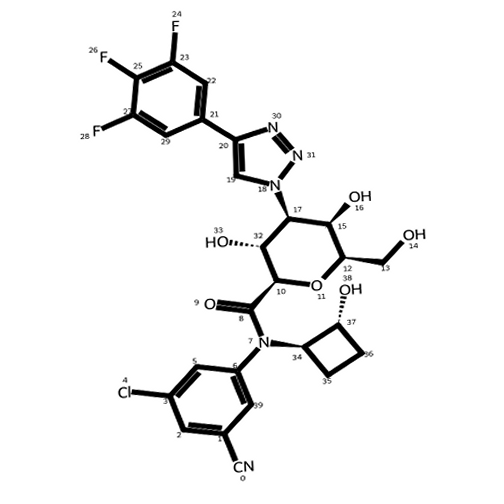 N#Cc1cc(Cl)cc(N(C(=O)[C@@H]2O[C@H](CO)[C@H](O)[C@H](n3cc(-c4cc(F)c(F)c(F)c4)nn3)[C@H]2O)[C@@H]2CC[C@H]2O)c1